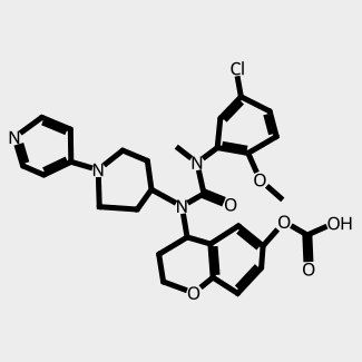 COc1ccc(Cl)cc1N(C)C(=O)N(C1CCN(c2ccncc2)CC1)C1CCOc2ccc(OC(=O)O)cc21